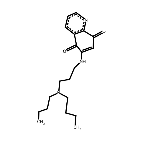 CCCCN(CCCC)CCCNC1=CC(=O)c2ncccc2C1=O